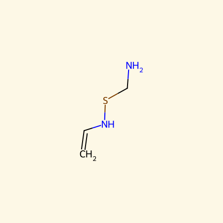 C=CNSCN